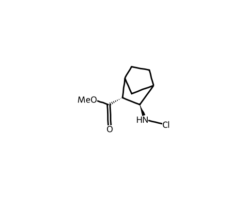 COC(=O)[C@@H]1C2CCC(C2)[C@H]1NCl